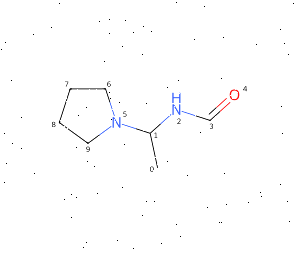 CC(NC=O)N1CCCC1